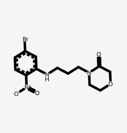 O=C1COCCN1CCCNc1cc(Br)ccc1[N+](=O)[O-]